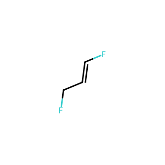 FC=CCF